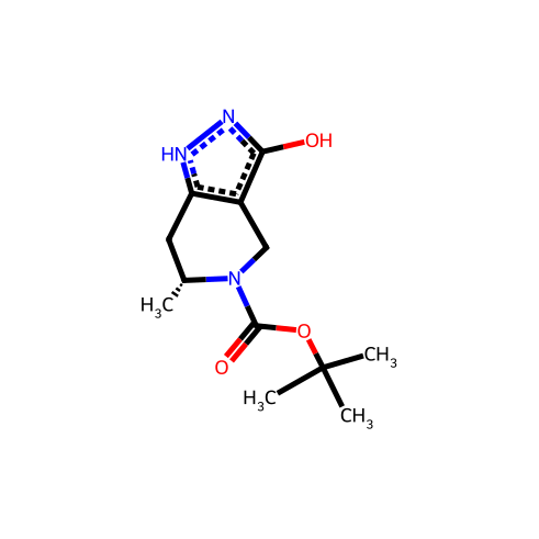 C[C@@H]1Cc2[nH]nc(O)c2CN1C(=O)OC(C)(C)C